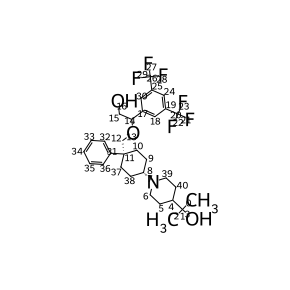 CC(C)(O)C1CCN([C@H]2CC[C@](COC(CO)c3cc(C(F)(F)F)cc(C(F)(F)F)c3)(c3ccccc3)CC2)CC1